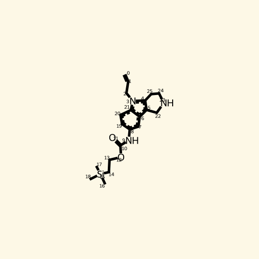 C=CCn1c2c(c3cc(NC(=O)OCC[Si](C)(C)C)ccc31)CNCC2